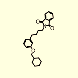 O=C1c2ccccc2C(=O)N1CCCCc1cccc(OCC2CCCCC2)c1